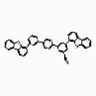 N#Cc1cc(-c2ccc(-c3cccc(-c4cccc5c4sc4ccccc45)c3)cc2)cc(-c2cccc3c2sc2ccccc23)c1